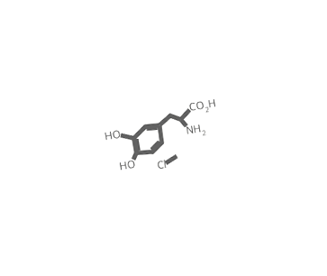 CCl.NC(Cc1ccc(O)c(O)c1)C(=O)O